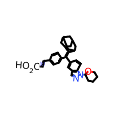 O=C(O)/C=C/c1ccc(C(=C2C3CC4CC(C3)CC2C4)c2ccc3c(cnn3C3CCCCO3)c2)cc1